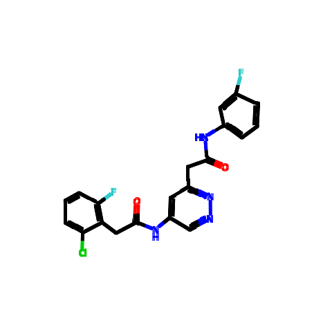 O=C(Cc1cc(NC(=O)Cc2c(F)cccc2Cl)cnn1)Nc1cccc(F)c1